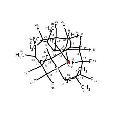 CC(C)[CH2][Sn]([O][Sn]([CH2]C(C)C)([C](F)(F)C(F)(F)C(C)F)[C](F)(F)C(F)(F)C(C)F)([C](F)(F)C(F)(F)C(C)F)[C](F)(F)C(F)(F)C(C)F